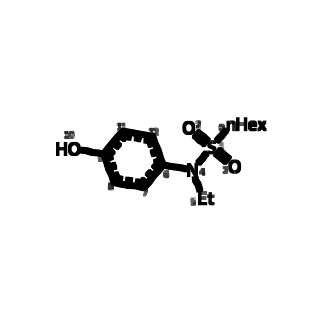 CCCCCCS(=O)(=O)N(CC)c1ccc(O)cc1